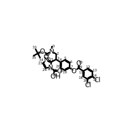 CN(CC(c1ccc(OC(=O)c2ccc(Cl)c(Cl)c2)cc1)c1nccn1C(=O)O)C(=O)OC(C)(C)C